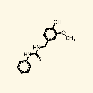 COc1cc(CNC(=S)Nc2ccccc2)ccc1O